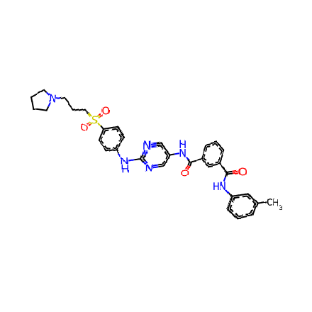 Cc1cccc(NC(=O)c2cccc(C(=O)Nc3cnc(Nc4ccc(S(=O)(=O)CCCN5CCCC5)cc4)nc3)c2)c1